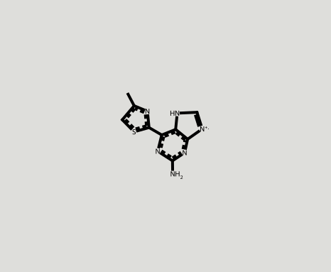 Cc1csc(-c2nc(N)nc3c2NC=[N+]3)n1